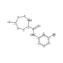 O=C(Nc1cccc(Br)n1)C1CCC(F)CCN1